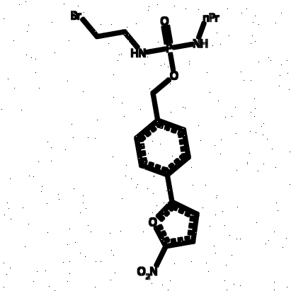 CCCNP(=O)(NCCBr)OCc1ccc(-c2ccc([N+](=O)[O-])o2)cc1